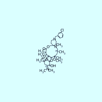 CO[C@]1(C)C[C@@H](C)CN(C)C2(CCN(Cc3cccc(Cl)c3)CC2)COC(=O)C(C)(C)C(=O)[C@H](C)[C@H]1O[C@@H]1O[C@H](C)C[C@H](N(C)C)[C@H]1O